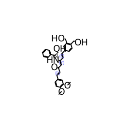 COc1ccc(/C=C/C(=O)/C=C(/C=C/c2ccc(CO)c(CO)c2)N[C@H](CO)c2ccccc2)cc1OC